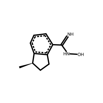 C[C@@H]1CCc2c(C(=N)NO)cccc21